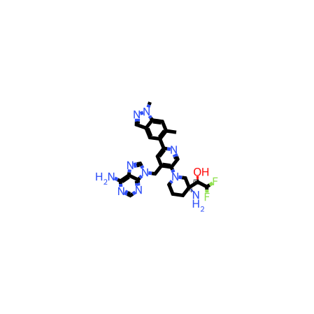 Cc1cc2c(cnn2C)cc1-c1cc(Cn2cnc3c(N)ncnc32)c(N2CCC[C@](N)([C@@H](O)C(F)F)C2)cn1